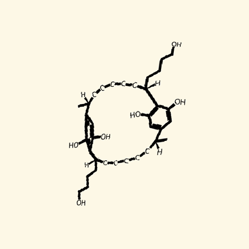 C[C@@H]1CCCCC[C@H](CCCCO)c2c(O)cc(cc2O)[C@H](C)CCCCC[C@H](CCCCO)c2c(O)cc1cc2O